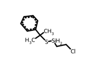 CC(C)(S[SiH2]CCCl)c1ccccc1